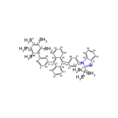 Bc1c(B)c(B)c(-c2cccc(-c3c4ccccc4c(-c4ccc(-n5c(C(B)(B)B)nc6ccccc65)cc4)c4ccccc34)c2)c(B)c1B